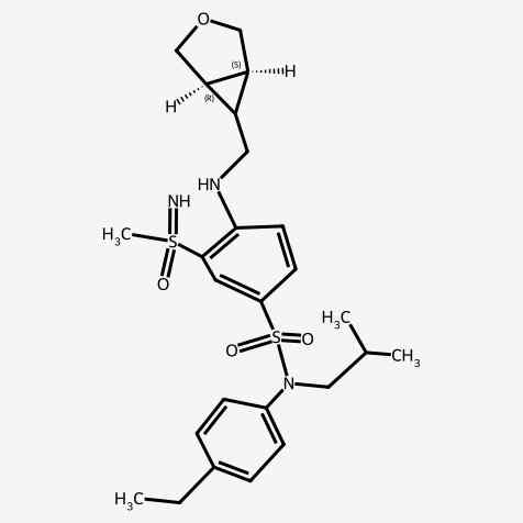 CCc1ccc(N(CC(C)C)S(=O)(=O)c2ccc(NCC3[C@H]4COC[C@@H]34)c(S(C)(=N)=O)c2)cc1